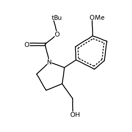 COc1cccc(C2C(CO)CCN2C(=O)OC(C)(C)C)c1